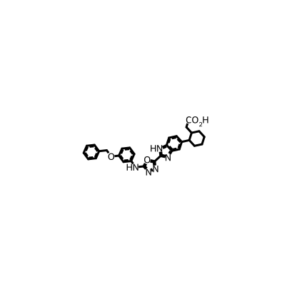 O=C(O)CC1CCCCC1c1ccc2[nH]c(-c3nnc(Nc4cccc(OCc5ccccc5)c4)o3)nc2c1